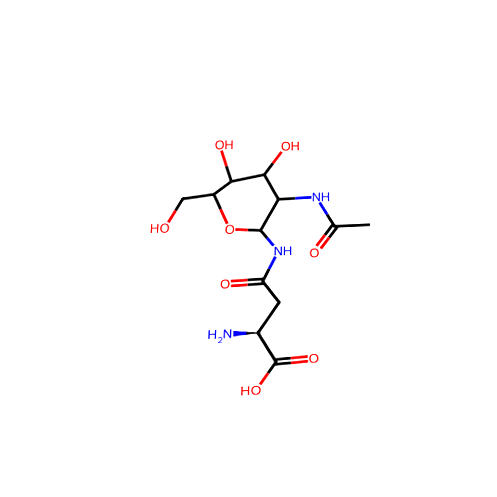 CC(=O)NC1C(NC(=O)C[C@H](N)C(=O)O)OC(CO)C(O)C1O